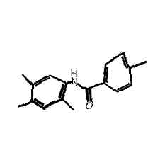 Cc1ccc(C(=O)Nc2cc(C)c(C)cc2C)cc1